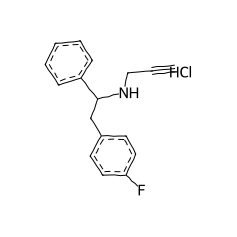 C#CCNC(Cc1ccc(F)cc1)c1ccccc1.Cl